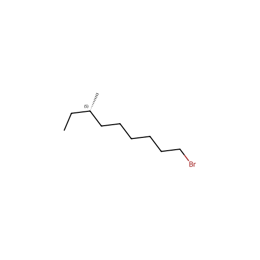 CC[C@H](C)CCCCCCBr